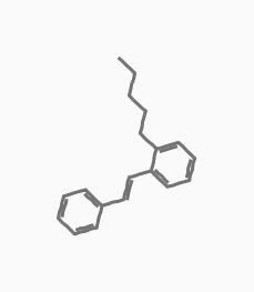 CCCCCc1ccccc1C=Cc1ccccc1